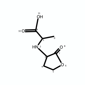 CC(NC1CCOC1=O)C(=O)O